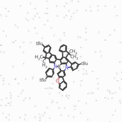 CC(C)(C)c1ccc(N2B3c4cc5oc6ccccc6c5cc4-n4c5ccc(C(C)(C)C)cc5c5c6c(c(c3c54)-c3cc4c(cc32)C(C)(C)c2cc(C(C)(C)C)ccc2-4)-c2ccccc2C6(C)C)cc1